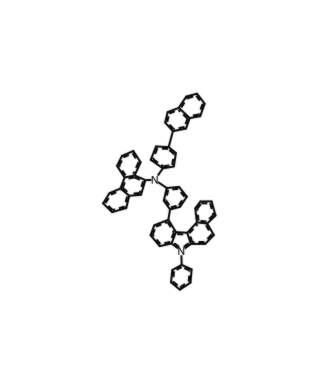 c1ccc(-n2c3cccc(-c4cccc(N(c5ccc(-c6ccc7ccccc7c6)cc5)c5cc6ccccc6c6ccccc56)c4)c3c3c4ccccc4ccc32)cc1